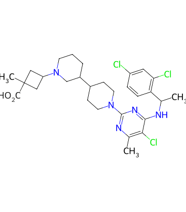 Cc1nc(N2CCC(C3CCCN(C4CC(C)(C(=O)O)C4)C3)CC2)nc(NC(C)c2ccc(Cl)cc2Cl)c1Cl